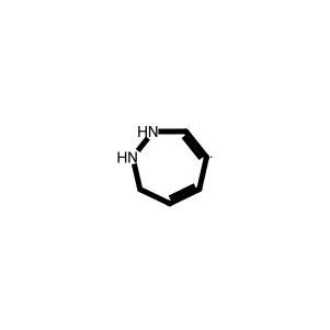 [C]1=CNNCC=C1